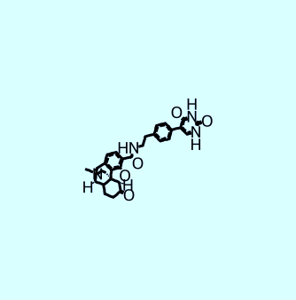 CN1CC[C@]23c4c5ccc(C(=O)NCCc6ccc(-c7c[nH]c(=O)[nH]c7=O)cc6)c4O[C@H]2C(=O)CCC3[C@H]1C5